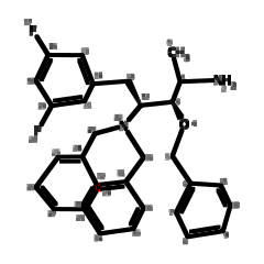 CC(N)[C@@H](OCc1ccccc1)[C@H](Cc1cc(F)cc(F)c1)N(Cc1ccccc1)Cc1ccccc1